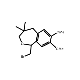 COc1cc2c(cc1OC)C(CBr)OCC(C)(C)C2